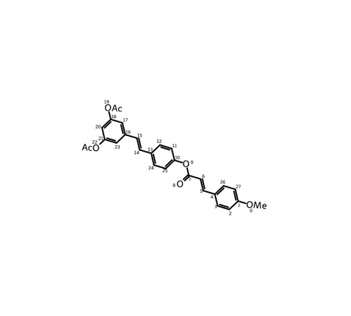 COc1ccc(/C=C/C(=O)Oc2ccc(/C=C/c3cc(OC(C)=O)cc(OC(C)=O)c3)cc2)cc1